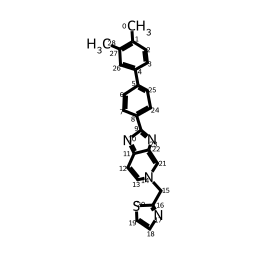 Cc1ccc(-c2ccc(-c3nc4ccn(Cc5nccs5)cc-4n3)cc2)cc1C